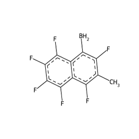 Bc1c(F)c(C)c(F)c2c(F)c(F)c(F)c(F)c12